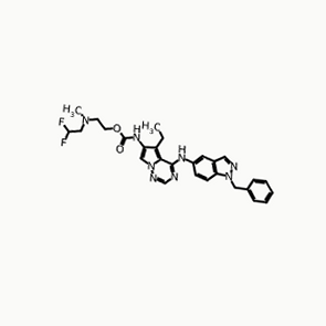 CCc1c(NC(=O)OCCN(C)CC(F)F)cn2ncnc(Nc3ccc4c(cnn4Cc4ccccc4)c3)c12